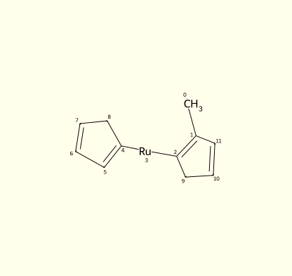 CC1=[C]([Ru][C]2=CC=CC2)CC=C1